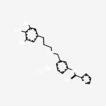 CC(C)(C)c1cc(CCCNCc2cccc(NC(=N)c3cccs3)c2)cc(C(C)(C)C)c1O.Cl.Cl